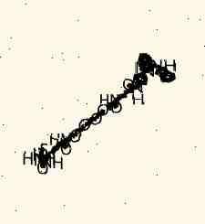 O=C(CCCC[C@@H]1SC[C@@H]2NC(=O)N[C@@H]21)NCCOCCOCCOCCOCCC(=O)NCCCCCC(=O)Nc1ccc(-c2nc(NC3Cc4ccccc4C3)c3ccccc3n2)cc1